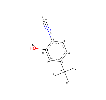 [C-]#[N+]c1ccc(C(C)(C)C)cc1O